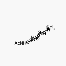 CC(=O)NCCOCCOCCOCCNC(=O)c1ccc(C(=O)NCCCCCCc2cn(C)nn2)cc1